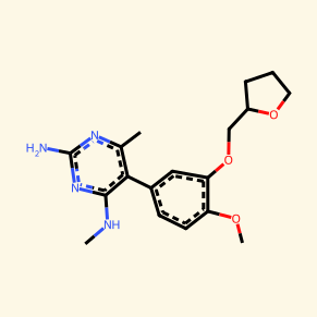 CNc1nc(N)nc(C)c1-c1ccc(OC)c(OCC2CCCO2)c1